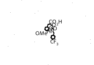 COc1ccc(C=C(C(=O)O)C(=O)OC(=O)NCc2ccc(C(F)(F)F)cc2)cc1